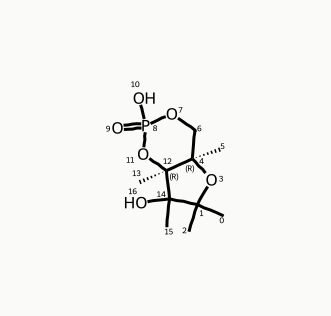 CC1(C)O[C@]2(C)COP(=O)(O)O[C@]2(C)C1(C)O